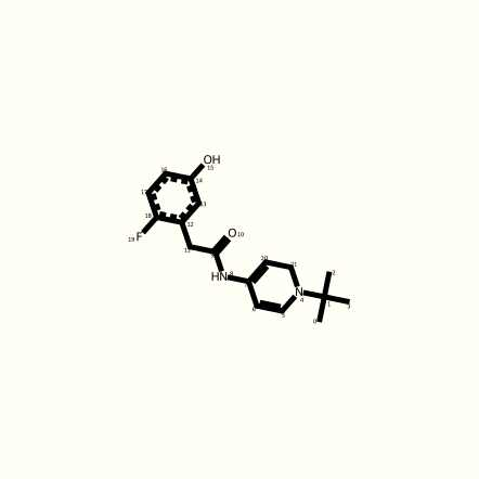 CC(C)(C)N1C=CC(NC(=O)Cc2cc(O)ccc2F)=CC1